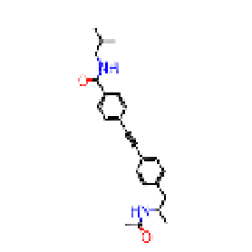 CC(=O)NC(C)Cc1ccc(C#Cc2ccc(C(=O)NCC(C)C)cc2)cc1